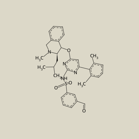 Cc1cccc(C)c1-c1cc(OC2c3ccccc3CN(C)[C@@H]2CC(C)C)nc(NS(=O)(=O)c2cccc(C=O)c2)n1